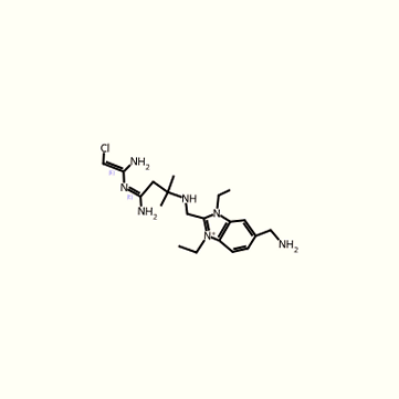 CCn1c(CNC(C)(C)C/C(N)=N\C(N)=C\Cl)[n+](CC)c2ccc(CN)cc21